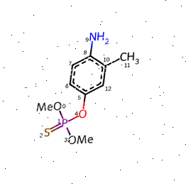 COP(=S)(OC)Oc1ccc(N)c(C)c1